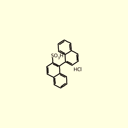 Cl.O=S(=O)(O)c1ccc2ccccc2c1-c1cccc2ccccc12